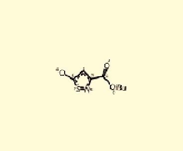 CC(C)COC(=O)c1cc([O])sn1